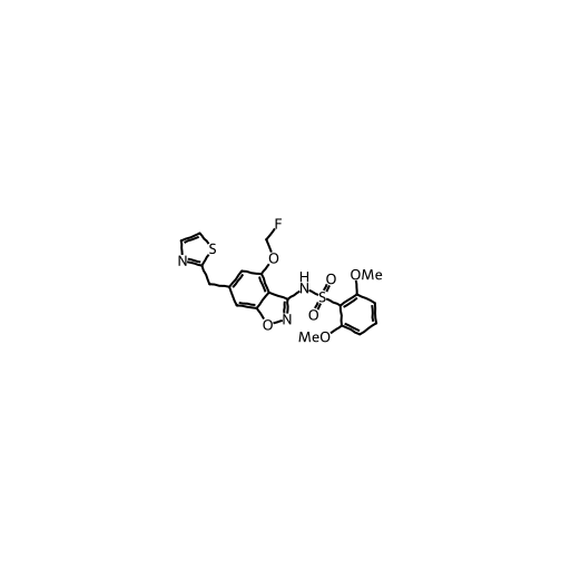 COc1cccc(OC)c1S(=O)(=O)Nc1noc2cc(Cc3nccs3)cc(OCF)c12